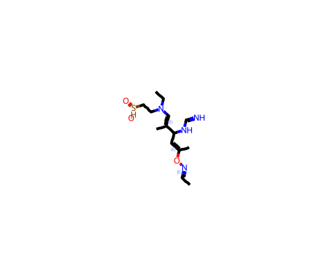 C/C=N/O/C(C)=C/C(NC=N)/C(C)=C/N(CC)CC[SH](=O)=O